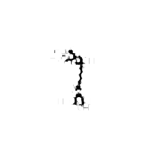 CN1C(C)(C)CC2(CC1(C)C)OCC(C)(OCCCCCOC1(C)COC3(CC(C)(C)N(C)C(C)(C)C3)OC1)CO2